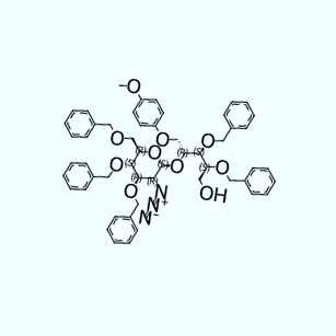 COc1ccc(OC[C@@H](O[C@@H]2O[C@H](COCc3ccccc3)[C@@H](OCc3ccccc3)[C@H](OCc3ccccc3)[C@H]2N=[N+]=[N-])[C@@H](OCc2ccccc2)[C@H](CO)OCc2ccccc2)cc1